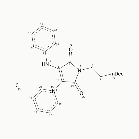 CCCCCCCCCCCCN1C(=O)C(Nc2ccccc2)=C([n+]2ccccc2)C1=O.[Cl-]